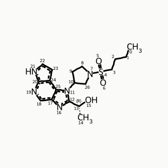 CCCCS(=O)(=O)N1CCC(n2c([C@@H](C)O)nc3cnc4[nH]ccc4c32)C1